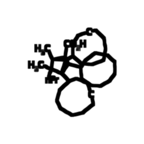 CCCC1(C)C2(C)C(C(=O)O)=C(C3CCCCCCCCC3)C1(C1CCCCCCCCC1)C2C1CCCCCCCCC1